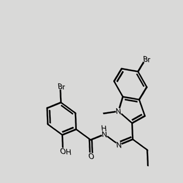 CC/C(=N/NC(=O)c1cc(Br)ccc1O)c1cc2cc(Br)ccc2n1C